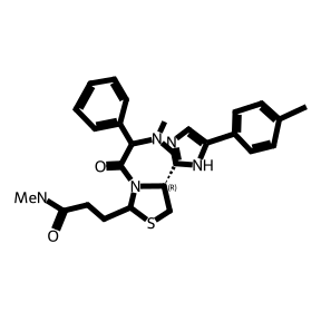 CNC(=O)CCC1SC[C@@H](c2ncc(-c3ccc(C)cc3)[nH]2)N1C(=O)C(c1ccccc1)N(C)C